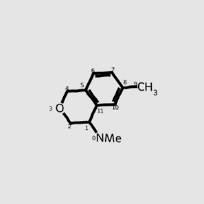 CNC1COCc2ccc(C)cc21